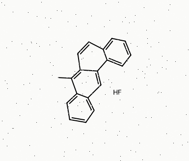 Cc1c2ccccc2cc2c1ccc1ccccc12.F